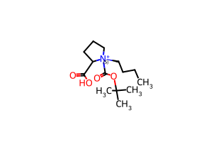 CCCC[N@+]1(C(=O)OC(C)(C)C)CCCC1C(=O)O